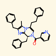 Cc1c(Cc2ccccc2)nc2n1C(CCc1ccccc1)=CN(C(=O)c1cccnc1)[C@H]2Cc1ccccc1